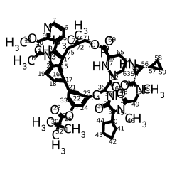 CCn1c(-c2cccnc2[C@H](C)OC)c2c3cc(ccc31)-c1cc(cc(OC(=O)C(C)(C)C)c1)C[C@H](NC(=O)[C@H](C1CCCC1)N(C)C(=O)CN(C)C(=O)[C@@H]1N[C@@H]1C1CC1)C(=O)N1CCC[C@H](N1)C(=O)OCC(C)(C)C2